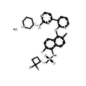 Cc1ccc2c(NS(=O)(=O)C[C@H]3CCC3(F)F)c(F)ccc2c1Oc1ncccc1-c1ccnc(N[C@H]2CCCNC2)n1.Cl